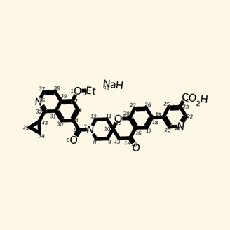 CCOc1cc(C(=O)N2CCC3(CC2)CC(=O)c2cc(-c4cncc(C(=O)O)c4)ccc2O3)cc2c(C3CC3)nccc12.[NaH]